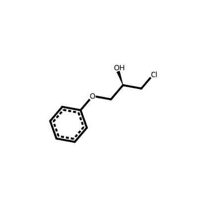 O[C@@H](CCl)COc1ccccc1